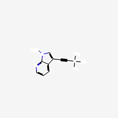 C[Si](C)(C)C#Cc1cn(C(=O)O)c2ncccc12